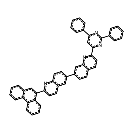 c1ccc(-c2cc(-c3ccc4ccc(-c5ccc6nc(-c7cc8ccccc8c8ccccc78)ccc6c5)cc4n3)nc(-c3ccccc3)n2)cc1